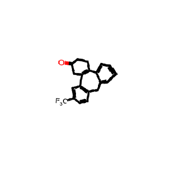 O=C1CCC2=C(C1)c1cc(C(F)(F)F)ccc1Cc1ccccc12